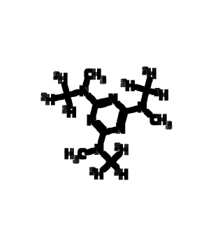 [2H]C([2H])([2H])N(C)c1nc(N(C)C([2H])([2H])[2H])nc(N(C)C([2H])([2H])[2H])n1